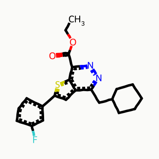 CCOC(=O)c1nnc(CC2CCCCC2)c2cc(-c3cccc(F)c3)sc12